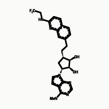 CNc1ncnc2c1ccn2[C@@H]1C[C@H](CCc2ccc3ccc(NCC(F)(F)F)nc3c2)[C@@H](O)[C@H]1O